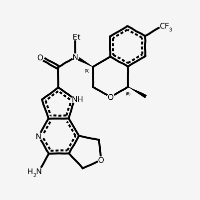 CCN(C(=O)c1cc2nc(N)c3c(c2[nH]1)COC3)[C@@H]1CO[C@H](C)c2cc(C(F)(F)F)ccc21